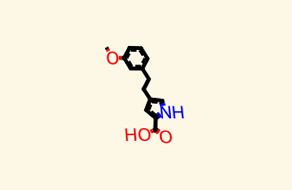 COc1cccc(CCc2c[nH]c(C(=O)O)c2)c1